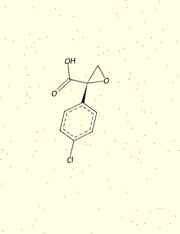 O=C(O)[C@]1(c2ccc(Cl)cc2)CO1